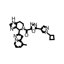 Cc1cccn2nc(C3c4nc[nH]c4CCN3C(=O)c3nnc(-c4cnn(C5CCC5)c4)o3)cc12